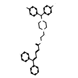 O=C(/C=C/C=C(c1ccccc1)c1ccccc1)NCCN1CCN(C(c2ccc(F)cc2)c2ccc(F)cc2)CC1